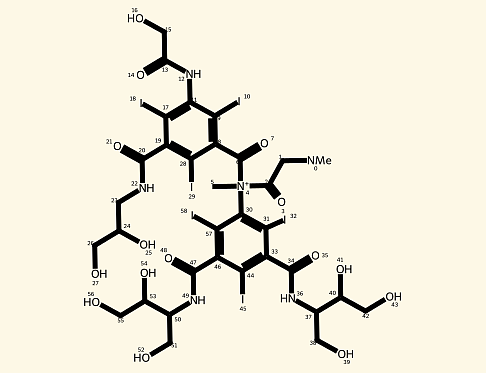 CNCC(=O)[N+](C)(C(=O)c1c(I)c(NC(=O)CO)c(I)c(C(=O)NCC(O)CO)c1I)c1c(I)c(C(=O)NC(CO)C(O)CO)c(I)c(C(=O)NC(CO)C(O)CO)c1I